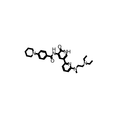 CCN(CC)CCN(C)c1cccc(-c2c[nH]c(=O)c(NC(=O)c3ccc(N4CCCCC4)cc3)c2)n1